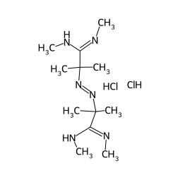 CN=C(NC)C(C)(C)N=NC(C)(C)C(=NC)NC.Cl.Cl